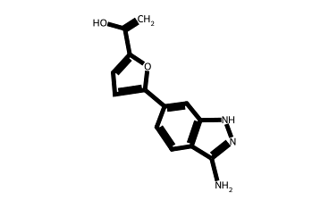 C=C(O)c1ccc(-c2ccc3c(N)n[nH]c3c2)o1